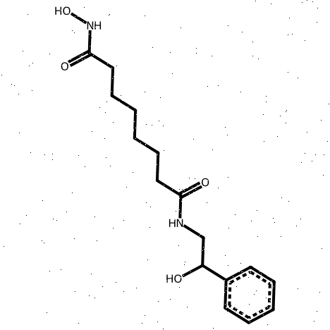 O=C(CCCCCCC(=O)NCC(O)c1ccccc1)NO